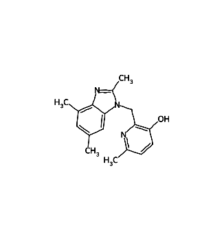 Cc1cc(C)c2nc(C)n(Cc3nc(C)ccc3O)c2c1